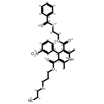 CC1=C(C(=O)OCCCSCCC#N)C(c2cccc([N+](=O)[O-])c2)C(C(=O)OCCSC(=O)c2ccccc2)=C(C)N1